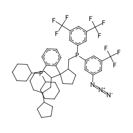 [N-]=[N+]=Nc1cc(P(CC2CCCC2(c2ccccc2P(C2CCCCC2)C2CCCCC2)C2CCCCC(C3CCCC3)C2)c2cc(C(F)(F)F)cc(C(F)(F)F)c2)cc(C(F)(F)F)c1